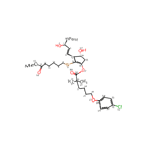 CCCCC[C@H](O)/C=C/[C@@H]1C(SCCCCCC(=O)OC)=C(OC(=O)C(C)(C)CCCCOc2ccc(Cl)cc2)C[C@H]1O